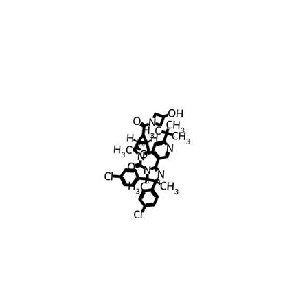 CCOc1cc(C(C)(C)C)ncc1C1=N[C@](C)(c2ccc(Cl)cc2)[C@@](C)(c2ccc(Cl)cc2)N1C(=O)N1C[C@@H]2C(C(=O)N3CC(O)C3)[C@@H]2C1